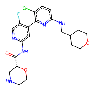 O=C(Nc1cc(-c2nc(NCC3CCOCC3)ccc2Cl)c(F)cn1)[C@H]1CNCCO1